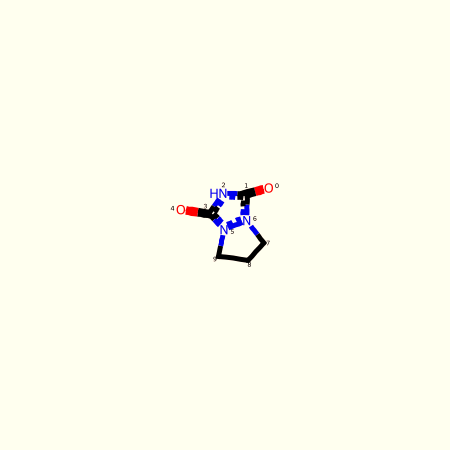 O=c1[nH]c(=O)n2n1CCC2